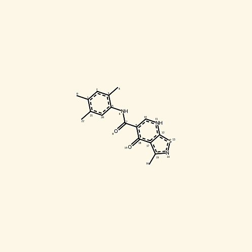 Cc1cc(C)c(NC(=O)c2c[nH]c3snc(C)c3c2=O)cc1C